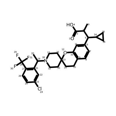 CC(C(=O)O)C(c1ccc2c(c1)OC1(CC2)CCN(C(C)c2cc(Cl)ccc2C(F)(F)F)CC1)C1CC1